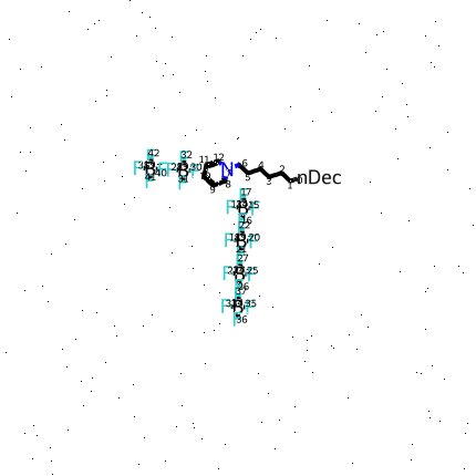 CCCCCCCCCCCCCCCC[n+]1ccccc1.F[B-](F)(F)F.F[B-](F)(F)F.F[B-](F)(F)F.F[B-](F)(F)F.F[B-](F)(F)F.F[B-](F)(F)F